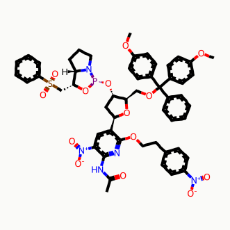 COc1ccc(C(OC[C@H]2O[C@@H](c3cc([N+](=O)[O-])c(NC(C)=O)nc3OCCc3ccc([N+](=O)[O-])cc3)C[C@@H]2O[P@]2O[C@H](CS(=O)(=O)c3ccccc3)[C@@H]3CCCN32)(c2ccccc2)c2ccc(OC)cc2)cc1